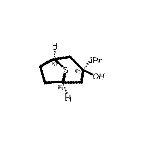 CC(C)[C@]1(O)C[C@H]2CC[C@@H](C1)S2